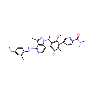 COc1ccc(CNc2nccc3c2c(C)nn3C(C)c2cc(Cl)c(C)c(-c3ccc(C(=O)N(C)C)nc3)c2OC)c(C)c1